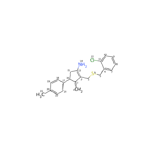 C=C1C(CSCc2ccccc2Cl)=C(N)CC1c1ccc(C)cc1